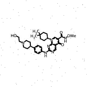 CONC(=O)c1cn(C2CCC(C)(C)CC2)c2nc(Nc3ccc(C4CCN(CCO)CC4)cc3)ncc2c1=O